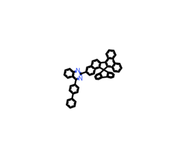 c1ccc(-c2ccc(-c3nc(-c4ccc5c6c(ccc5c4)-c4c(c5ccccc5c5ccccc45)C64c5ccccc5-c5ccccc54)nc4ccccc34)cc2)cc1